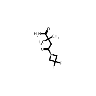 CC(C)(CC(=O)N1CC(F)(F)C1)C(N)=O